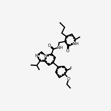 CCCc1cc(C)[nH]c(=O)c1CNC(=O)c1cc(-c2ccc(OCC)c(F)c2)cc2c(C(C)C)ncn12